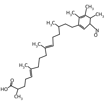 CC1=C(C)C(C)C(N=O)C=C1CCC(C)CC/C=C(\C)CCC/C(C)=C/CCC(C)C(=O)O